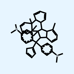 CC1=CC=CC2C1C1C3C=CC=CC3C3(C)C=CC=CC3(C)C1(C)C2C(C1=CC=CC1)(c1ccc(N(C)C)cc1)c1ccc(N(C)C)cc1